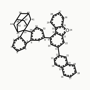 c1ccc2c(c1)-c1cc(-c3cc(-c4ccc5ccccc5c4)cc4oc5ccccc5c34)ccc1C21C2CC3CC(C2)CC1C3